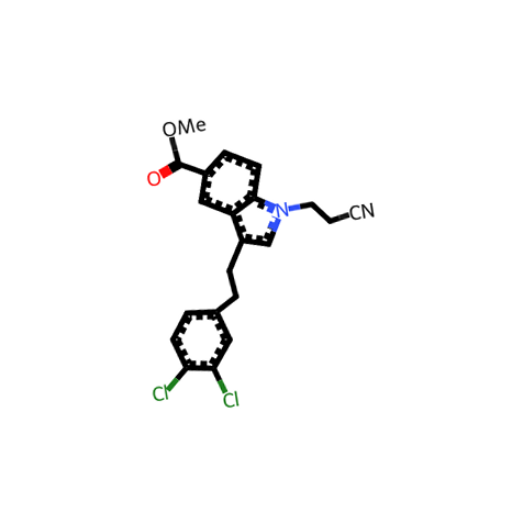 COC(=O)c1ccc2c(c1)c(CCc1ccc(Cl)c(Cl)c1)cn2CCC#N